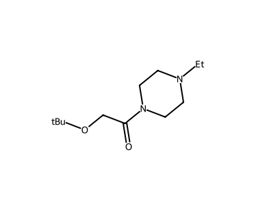 CCN1CCN(C(=O)COC(C)(C)C)CC1